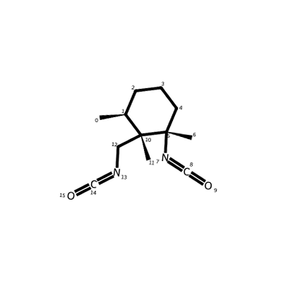 C[C@H]1CCC[C@](C)(N=C=O)[C@]1(C)CN=C=O